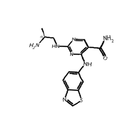 C[C@H](N)CNc1ncc(C(N)=O)c(Nc2ccc3ncsc3c2)n1